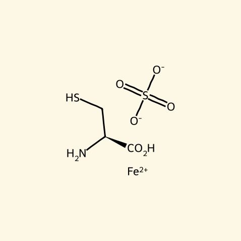 N[C@@H](CS)C(=O)O.O=S(=O)([O-])[O-].[Fe+2]